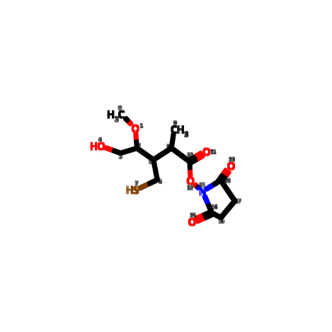 COC(CO)C(CS)C(C)C(=O)ON1C(=O)CCC1=O